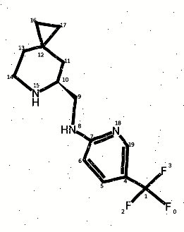 FC(F)(F)c1ccc(NC[C@@H]2CC3(CCN2)CC3)nc1